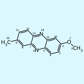 COc1ccc2nc3cc(C)ccc3nc2c1